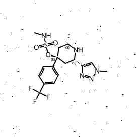 CNS(=O)(=O)O[C@]1(c2ccc(C(F)(F)F)cc2)C[C@@H](c2cn(C)nn2)N[C@@H](C)C1